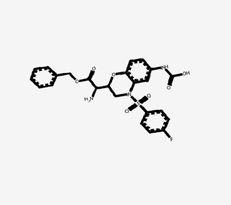 NC(C(=O)OCc1ccccc1)C1CN(S(=O)(=O)c2ccc(F)cc2)c2cc(NC(=O)O)ccc2O1